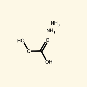 N.N.O=C(O)OO